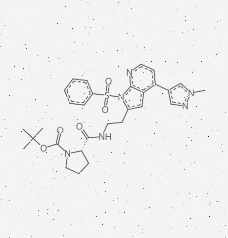 Cn1cc(-c2ccnc3c2cc(CCNC(=O)[C@@H]2CCCN2C(=O)OC(C)(C)C)n3S(=O)(=O)c2ccccc2)cn1